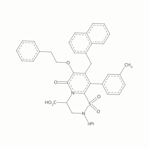 CCCN1CC(C(=O)O)n2c(c(-c3cccc(C)c3)c(Cc3cccc4ccccc34)c(OCCc3ccccc3)c2=O)S1(=O)=O